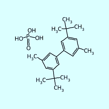 Cc1cc(-c2cc(C)cc(C(C)(C)C)c2)cc(C(C)(C)C)c1.O=P(O)(O)O